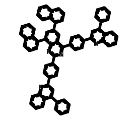 c1ccc(-c2cc(-c3ccc(-c4nc(-c5ccc(-c6cc(-c7ccccc7)c7ccccc7n6)cc5)c5cc(-c6cccc7ccccc67)cc(-c6cccc7ccccc67)c5n4)cc3)nc3ccccc23)cc1